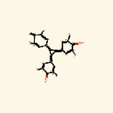 C=c1c(C)cc(=C2C(=C3C=C(C)C(=O)C(C)=C3)/C2=C2/C=C(C)C(=O)C(I)=C2)cc1C